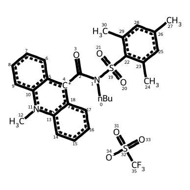 CCCCN(C(=O)[c+]1c2ccccc2n(C)c2ccccc21)S(=O)(=O)c1c(C)cc(C)cc1C.O=S(=O)([O-])C(F)(F)F